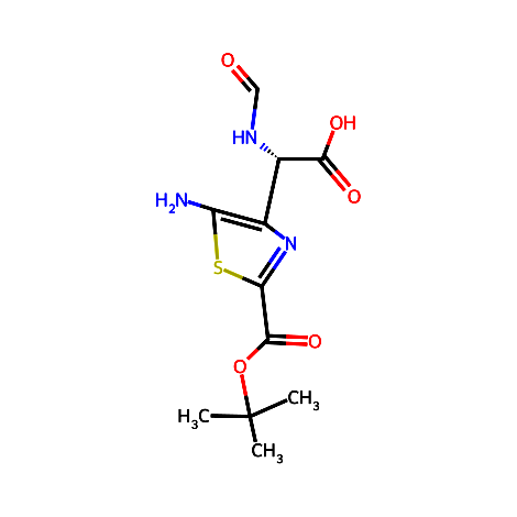 CC(C)(C)OC(=O)c1nc([C@H](NC=O)C(=O)O)c(N)s1